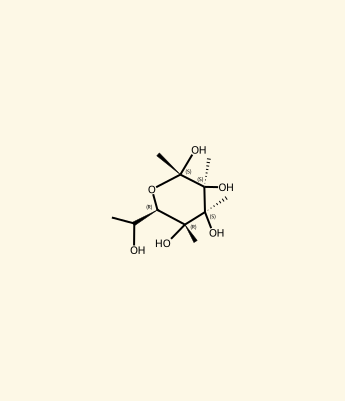 CC(O)[C@H]1O[C@](C)(O)[C@@](C)(O)[C@@](C)(O)[C@]1(C)O